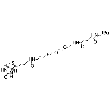 CC(C)(C)CNC(=O)CCCC(=O)NCCCOCCOCCOCCCNC(=O)CCCC[C@H]1SC[C@@H]2NC(=O)N[C@@H]21